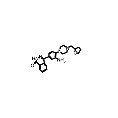 Nc1cc(-c2n[nH]c(=O)c3ccccc23)ccc1N1CCN(CC2CCCO2)CC1